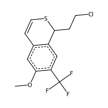 COc1cc2c(cc1C(F)(F)F)C(CCCl)SC=C2